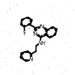 Fc1ccccc1-c1nc(NCCc2ccccn2)c2ccccc2n1